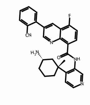 C[C@@]1(c2ccncc2NC(=O)c2ccc(F)c3cc(-c4ccccc4C#N)cnc23)CCC[C@H](N)C1